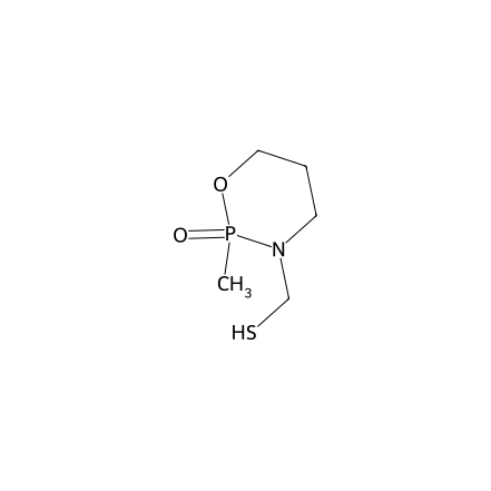 CP1(=O)OCCCN1CS